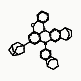 c1ccc2c(c1)Oc1cc(C34CC5CC(C3)C(C5)C4)cc3c1B2c1cc2c(cc1N3c1ccc3c(c1)C1CCC3CC1)C1CCC2CC1